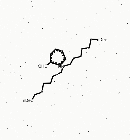 CCCCCCCCCCCCCCCCNCCCCCCCCCCCCCCCC.O=Cc1ccccc1